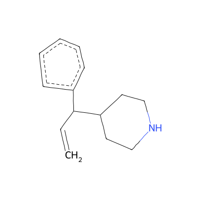 C=CC(c1ccccc1)C1CCNCC1